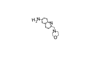 Nc1ccc2nc(CN3CCOCC3)ccc2c1